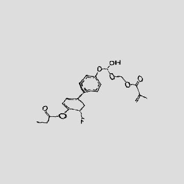 C=C(C)C(=O)OCOC(O)Oc1ccc(C2=CC=C(OC(=O)CC)C(F)C2)cc1